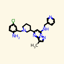 Cc1cnn2c(NCc3cccnc3)cc(C3CCCN(Cc4cc(Cl)ccc4N)C3)nc12